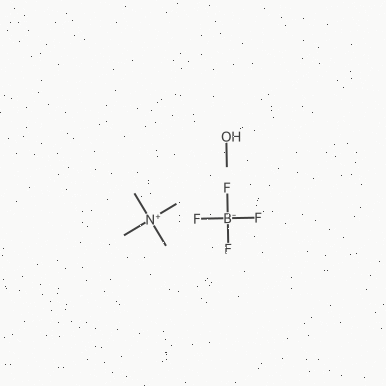 CO.C[N+](C)(C)C.F[B-](F)(F)F